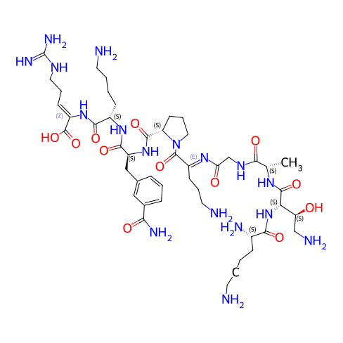 C[C@H](NC(=O)[C@@H](NC(=O)[C@@H](N)CCCCN)[C@@H](O)CN)C(=O)NCC(=O)/N=C(\CCCN)C(=O)N1CCC[C@H]1C(=O)N[C@@H](Cc1cccc(C(N)=O)c1)C(=O)N[C@@H](CCCCN)C(=O)N/C(=C\CCNC(=N)N)C(=O)O